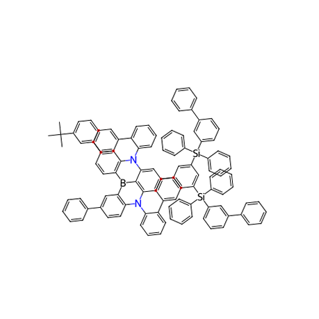 CC(C)(C)c1cccc(-c2ccc3c(c2)N(c2ccccc2-c2ccccc2)c2cc(-c4cc([Si](c5ccccc5)(c5ccccc5)c5cccc(-c6ccccc6)c5)cc([Si](c5ccccc5)(c5ccccc5)c5cccc(-c6ccccc6)c5)c4)cc4c2B3c2cc(-c3ccccc3)ccc2N4c2ccccc2-c2ccccc2)c1